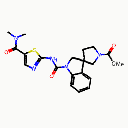 COC(=O)N1CCC2(C1)CN(C(=O)Nc1ncc(C(=O)N(C)C)s1)c1ccccc12